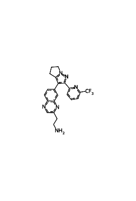 NCCc1cnc2ccc(-c3c(-c4cccc(C(F)(F)F)n4)nn4c3CCC4)cc2n1